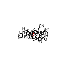 CC(C)C(=O)Nc1nc2c(ncn2[C@@H]2O[C@H](CO)[C@@H](O[Si](C)(C)C(C)(C)C)[C@H]2O[P@@](=S)(OCCC#N)OC[C@H]2C[C@@H](Nc3ccncn3)[C@H](F)[C@@H]2O[PH](=O)O)c(=O)[nH]1